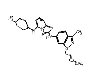 COCCn1nc(C)c2ccc(Nc3nc4cccc(NC5CCC(O)CC5)n4n3)cc21